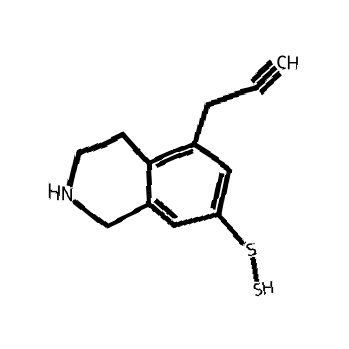 C#CCc1cc(SS)cc2c1CCNC2